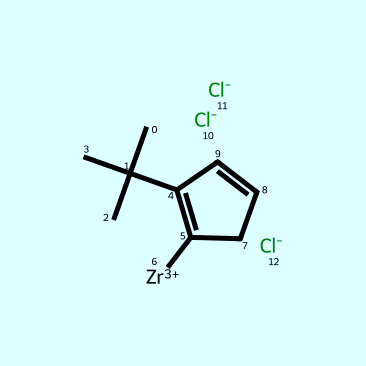 CC(C)(C)C1=[C]([Zr+3])CC=C1.[Cl-].[Cl-].[Cl-]